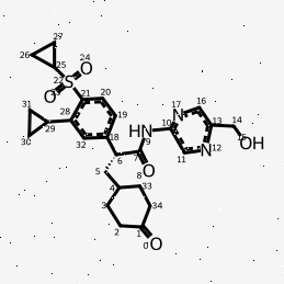 O=C1CCC(C[C@@H](C(=O)Nc2cnc(CO)cn2)c2ccc(S(=O)(=O)C3CC3)c(C3CC3)c2)CC1